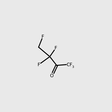 O=C(C(F)(F)F)C(F)(F)CF